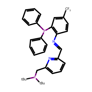 CC(C)(C)P(Cc1cccc(C=Nc2ccc(C(F)(F)F)cc2P(c2ccccc2)c2ccccc2)n1)C(C)(C)C